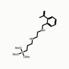 C=C(C)c1ccccc1CNCCNCCC[Si](OC)(OC)OC